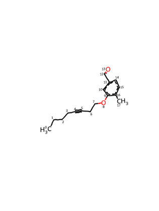 CCCCC#CCCOc1cc(C=O)ccc1C